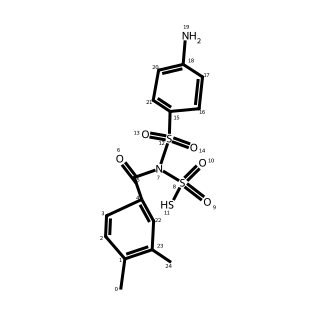 Cc1ccc(C(=O)N(S(=O)(=O)S)S(=O)(=O)c2ccc(N)cc2)cc1C